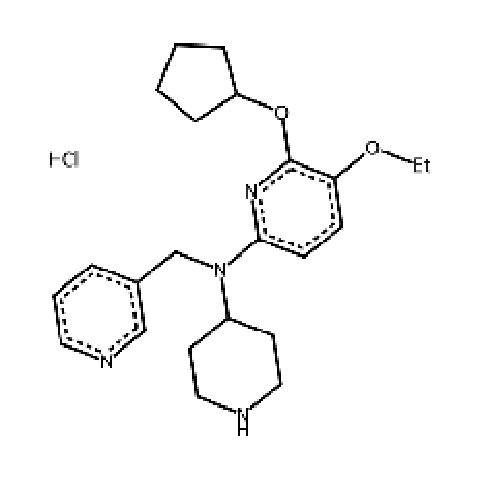 CCOc1ccc(N(Cc2cccnc2)C2CCNCC2)nc1OC1CCCC1.Cl